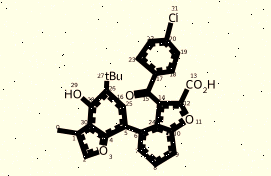 Cc1coc2c(-c3cccc4oc(C(=O)O)c(C(=O)c5ccc(Cl)cc5)c34)cc(C(C)(C)C)c(O)c12